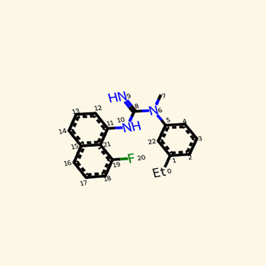 CCc1cccc(N(C)C(=N)Nc2cccc3cccc(F)c23)c1